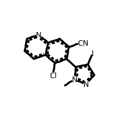 Cn1ncc(I)c1-c1c(C#N)cc2ncccc2c1Cl